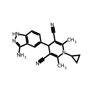 CC1=C(C#N)C(c2ccc3[nH]nc(N)c3c2)C(C#N)=C(C)N1C1CC1